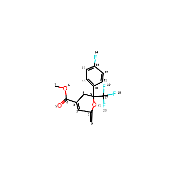 C=C1C=C(C(=O)OC)CC(c2ccc(F)cc2)(C(F)(F)F)O1